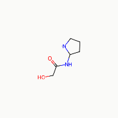 O=C(CO)NC1CCC[N]1